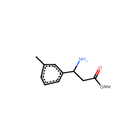 COC(=O)CC(N)c1cccc(C)c1